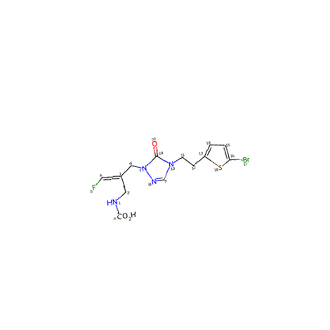 O=C(O)NC/C(=C\F)Cn1ncn(CCc2ccc(Br)s2)c1=O